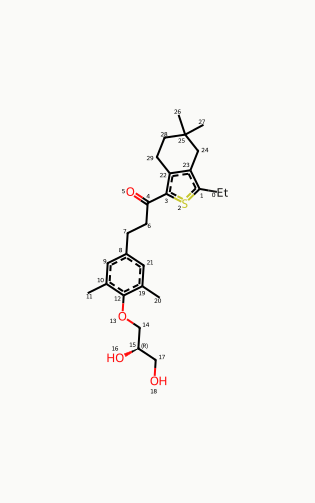 CCc1sc(C(=O)CCc2cc(C)c(OC[C@H](O)CO)c(C)c2)c2c1CC(C)(C)CC2